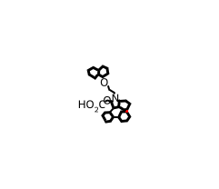 O=C(O)Oc1c(-c2ccccc2-c2ccccc2)c2ccccc2n1CCCOc1cccc2ccccc12